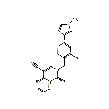 Cn1ccc(-c2ccc(Cn3cc(C#N)c4ncccc4c3=O)c(F)c2)n1